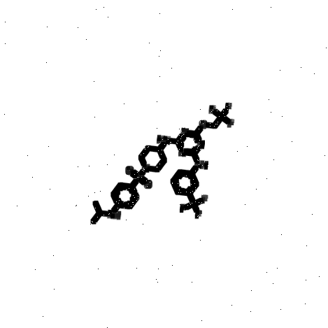 CC(C)Nc1ccc(S(=O)(=O)N2CCC(Nc3nc(Nc4cccc(C(F)(F)F)c4)nc(OCC(F)(F)F)n3)CC2)cc1